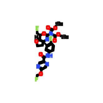 CC(C)(C)OC(=O)N(C(=O)OC(C)(C)C)C1=N[C@@]2(c3cc(NC(=O)c4cnc(OCF)cn4)ccc3F)CCO[C@H]2[C@@H](CF)O1